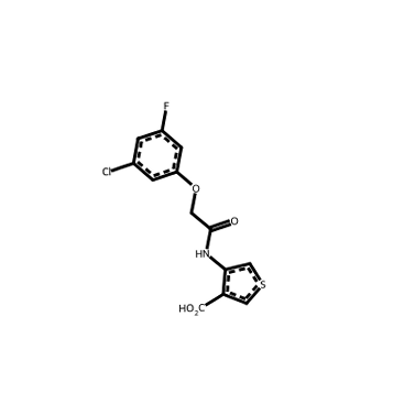 O=C(COc1cc(F)cc(Cl)c1)Nc1cscc1C(=O)O